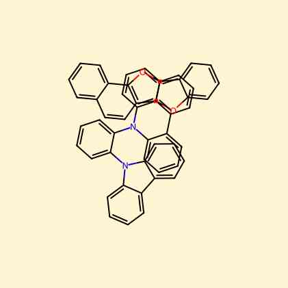 c1ccc(N(c2ccccc2-n2c3ccccc3c3ccccc32)c2cccc3c2oc2ccccc23)c(-c2cccc3oc4c5ccccc5ccc4c23)c1